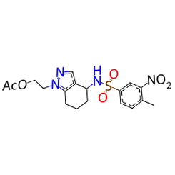 CC(=O)OCCn1ncc2c1CCCC2NS(=O)(=O)c1ccc(C)c([N+](=O)[O-])c1